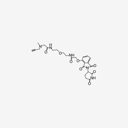 C#CCN(C)CC(=O)NCCOCCNC(=O)COc1cccc2c1C(=O)N(C1CCC(=O)NC1=O)C2=O